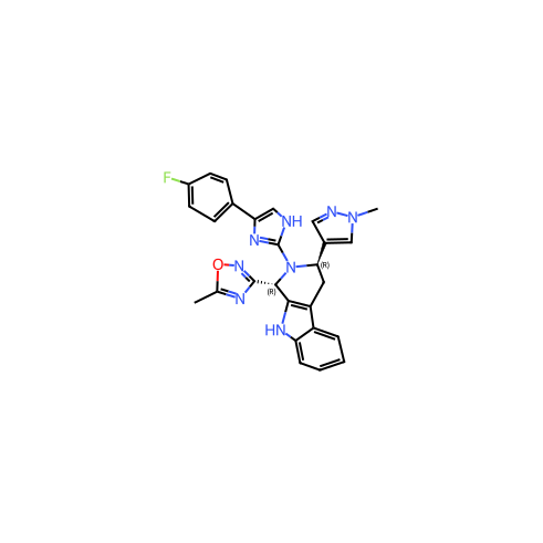 Cc1nc([C@H]2c3[nH]c4ccccc4c3C[C@H](c3cnn(C)c3)N2c2nc(-c3ccc(F)cc3)c[nH]2)no1